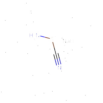 N#CSN.[NaH]